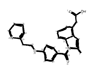 Cc1cc2c(CC(=O)O)cccc2n1C(=O)c1ccc(OCCc2ccccn2)cc1